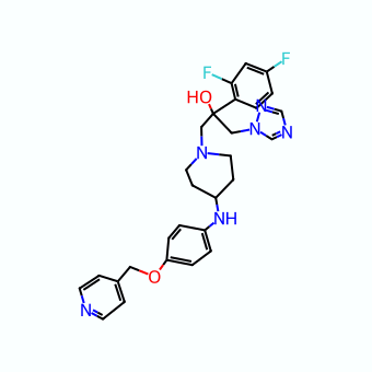 OC(CN1CCC(Nc2ccc(OCc3ccncc3)cc2)CC1)(Cn1cncn1)c1ccc(F)cc1F